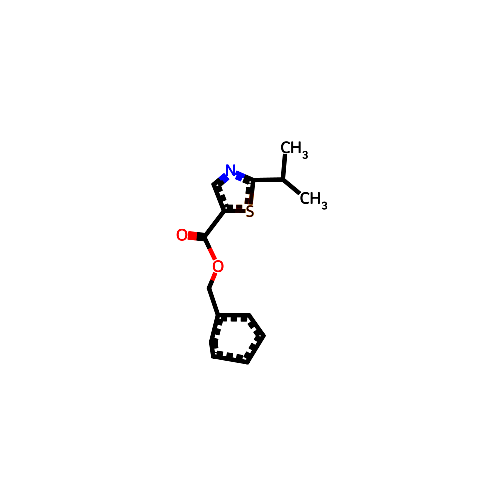 CC(C)c1ncc(C(=O)OCc2ccccc2)s1